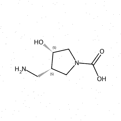 NC[C@H]1CN(C(=O)O)C[C@H]1O